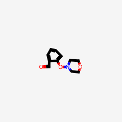 O=Cc1ccccc1ON1CCOCC1